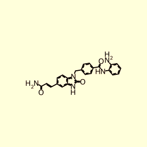 NC(=O)/C=C/c1ccc2c(c1)[nH]c(=O)n2Cc1ccc(C(=O)Nc2ccccc2N)cc1